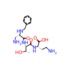 C[C@H](O)[C@H](NC(=O)[C@H](CN)NCc1ccccc1)C(=O)N[C@@H](CCN)C(=O)O